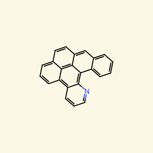 c1ccc2c(c1)cc1ccc3cccc4c5cccnc5c2c1c34